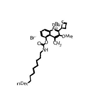 CCCCCCCCCCCCCCCCCCNC(=O)Oc1cccc2c1c(C)c(OC)c(C1CCS1)[n+]2CCCC.[Br-]